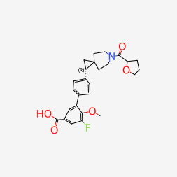 COc1c(F)cc(C(=O)O)cc1-c1ccc([C@@H]2CC23CCN(C(=O)C2CCCO2)CC3)cc1